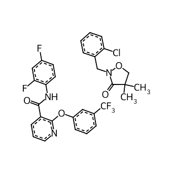 CC1(C)CON(Cc2ccccc2Cl)C1=O.O=C(Nc1ccc(F)cc1F)c1cccnc1Oc1cccc(C(F)(F)F)c1